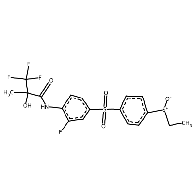 CC[S+]([O-])c1ccc(S(=O)(=O)c2ccc(NC(=O)C(C)(O)C(F)(F)F)c(F)c2)cc1